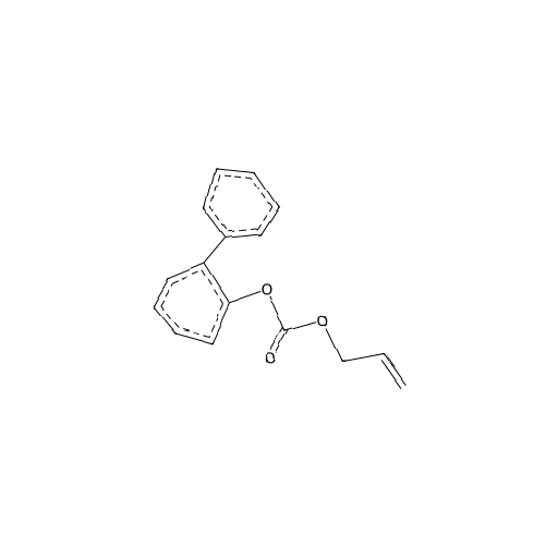 C=CCOC(=O)Oc1ccccc1-c1ccccc1